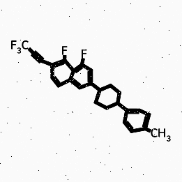 Cc1ccc(C2CCC(c3cc(F)c4c(F)c(C#CC(F)(F)F)ccc4c3)CC2)cc1